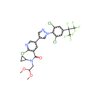 COC(CN(C(=O)c1cc(-c2cnn(-c3c(Cl)cc(C(F)(C(F)(F)F)C(F)(F)F)cc3Cl)c2)cnc1Cl)C1CC1)OC